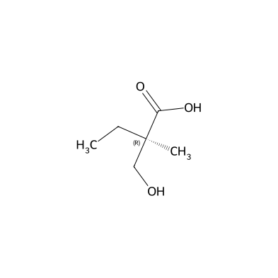 CC[C@](C)(CO)C(=O)O